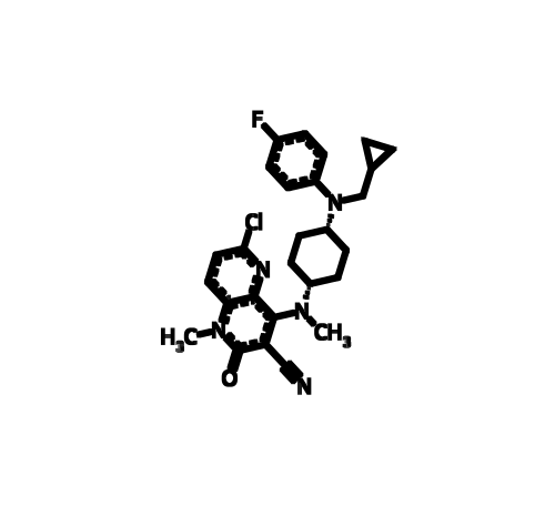 Cn1c(=O)c(C#N)c(N(C)[C@H]2CC[C@@H](N(CC3CC3)c3ccc(F)cc3)CC2)c2nc(Cl)ccc21